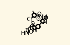 CNC(=O)[C@H](C)Cn1cnc2ccc(-c3cnc(OC)c(NS(=O)(=O)c4cc(C)cc(Cl)c4)c3)cc2c1=O